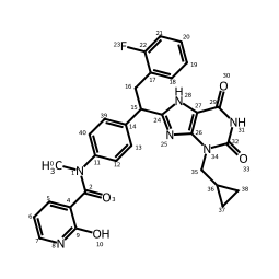 CN(C(=O)c1cccnc1O)c1ccc(C(Cc2ccccc2F)c2nc3c([nH]2)c(=O)[nH]c(=O)n3CC2CC2)cc1